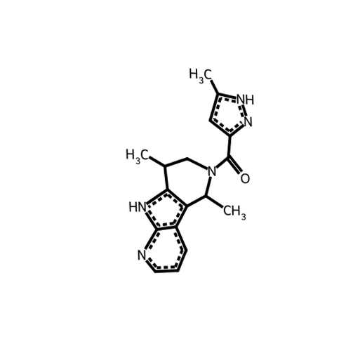 Cc1cc(C(=O)N2CC(C)c3[nH]c4ncccc4c3C2C)n[nH]1